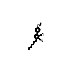 CCCCCCCc1ccc(-c2ccc(OCC)cc2)c(C#N)c1C#N